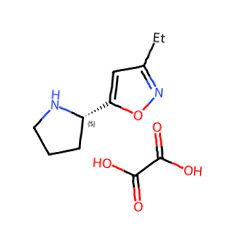 CCc1cc([C@@H]2CCCN2)on1.O=C(O)C(=O)O